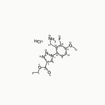 CCOC(=O)c1cn(-c2ccc(OC)c(F)c2CN)nn1.Cl